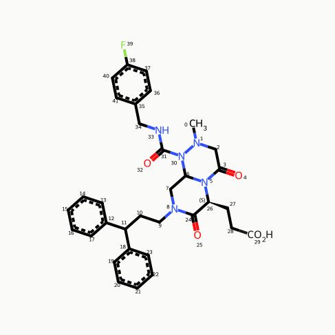 CN1CC(=O)N2C(CN(CCC(c3ccccc3)c3ccccc3)C(=O)[C@@H]2CCC(=O)O)N1C(=O)NCc1ccc(F)cc1